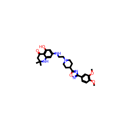 COc1ccc(-c2noc(C3CCN(CCNc4cc(O)c5c(c4)NC(C)(C)CC5=O)CC3)n2)cc1OC